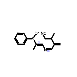 C=C(/C=N\C=C(/C)[S+]([O-])c1ccccc1)C(C)CC#N